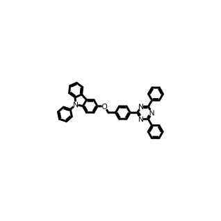 c1ccc(-c2nc(-c3ccccc3)nc(-c3ccc(COc4ccc5c(c4)c4ccccc4n5-c4ccccc4)cc3)n2)cc1